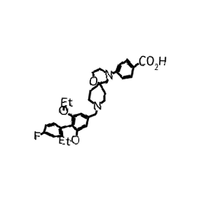 CCOc1cc(CN2CCC3(CC2)CN(c2ccc(C(=O)O)cc2)CCO3)cc(OCC)c1-c1ccc(F)cc1